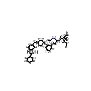 C=C/C=C\C(=C/C(C)P(=O)(OCC)OCC)COc1ccccc1OC1CCN(Cc2ccc3nc(-c4ccccc4)[nH]c3c2)CC1